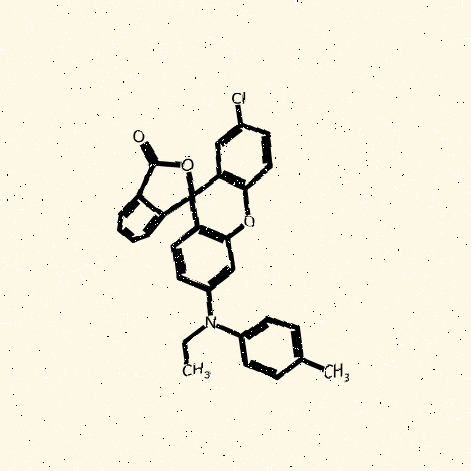 CCN(c1ccc(C)cc1)c1ccc2c(c1)Oc1ccc(Cl)cc1C21OC(=O)c2ccccc21